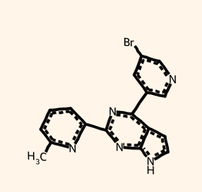 Cc1cccc(-c2nc(-c3cncc(Br)c3)c3cc[nH]c3n2)n1